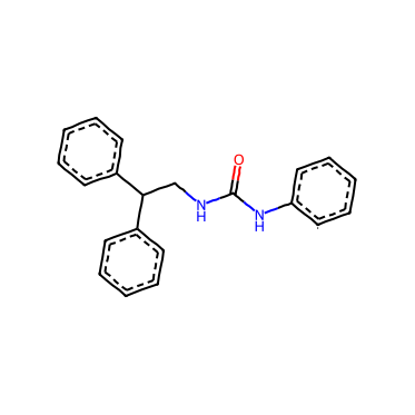 O=C(NCC(c1ccccc1)c1ccccc1)Nc1[c]cccc1